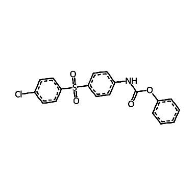 O=C(Nc1ccc(S(=O)(=O)c2ccc(Cl)cc2)cc1)Oc1ccccc1